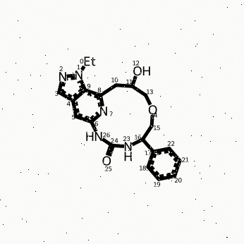 CCn1ncc2cc3nc(c21)CC(O)COCC(c1ccccc1)NC(=O)N3